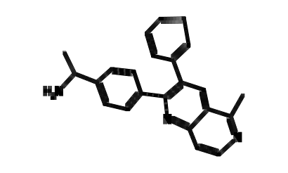 Cc1nccc2nc(-c3ccc(C(C)N)cc3)c(-c3ccccc3)cc12